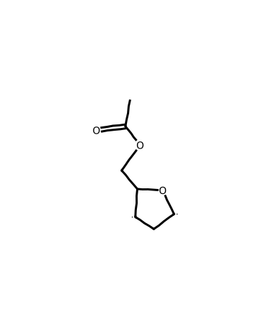 CC(=O)OCC1[CH]C[CH]O1